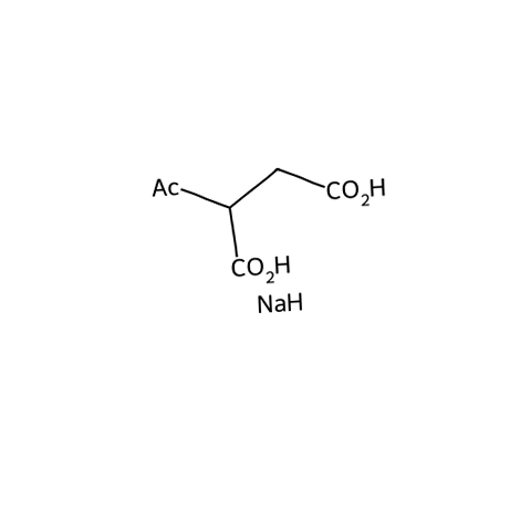 CC(=O)C(CC(=O)O)C(=O)O.[NaH]